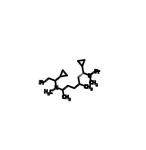 CC(C)CC(C1CC1)N(C)C(C)CCC(C)C[C@H](C1CC1)N(C)C(C)C